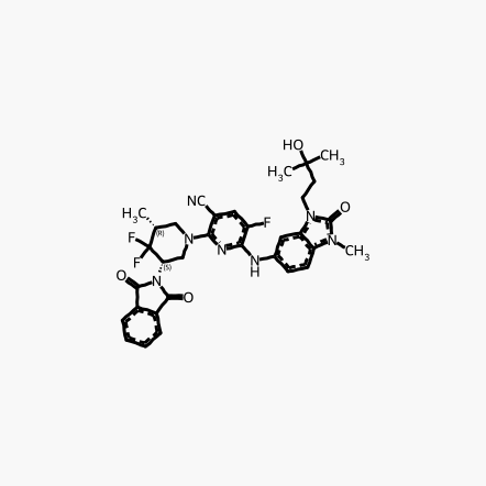 C[C@@H]1CN(c2nc(Nc3ccc4c(c3)n(CCC(C)(C)O)c(=O)n4C)c(F)cc2C#N)C[C@H](N2C(=O)c3ccccc3C2=O)C1(F)F